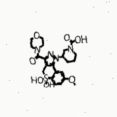 COc1ccc2c(c1)-c1c(c(C(=O)N3CCOCC3)nn1C1CCCN(C(=O)O)C1)CS2(O)O